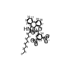 CCCCCCCCCC(=O)NC(c1ccccc1)C(NC(=O)c1cc([N+](=O)[O-])cc([N+](=O)[O-])c1)c1ccccc1